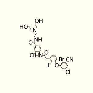 N#Cc1cc(Cl)cc(Oc2c(Br)ccc(CC(=O)Nc3ccc(C(=O)NCCN(CCO)CCO)cc3Cl)c2F)c1